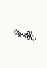 COc1c(C)cc(/C=C/c2csc(-c3ccccc3)n2)cc1C